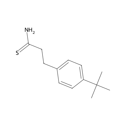 CC(C)(C)c1ccc(CCC(N)=S)cc1